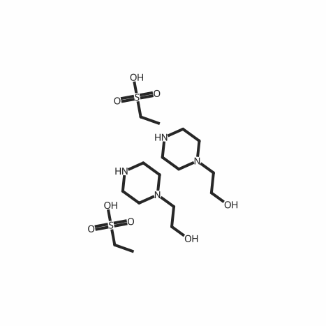 CCS(=O)(=O)O.CCS(=O)(=O)O.OCCN1CCNCC1.OCCN1CCNCC1